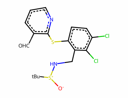 CC(C)(C)[S+]([O-])NCc1c(Sc2ncccc2C=O)ccc(Cl)c1Cl